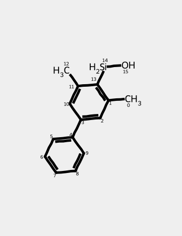 Cc1cc(-c2ccccc2)cc(C)c1[SiH2]O